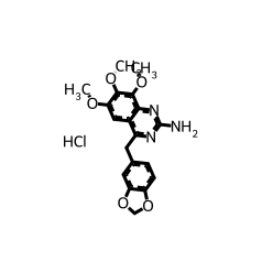 COc1cc2c(Cc3ccc4c(c3)OCO4)nc(N)nc2c(OC)c1OC.Cl